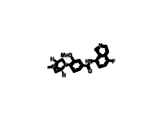 COc1cc(C(=O)Nc2ccc(F)c3ccncc23)ccc1N1C[C@@H]2C[C@@H]1CN2C